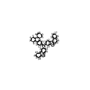 c1ccc(-c2ccccc2-c2ccc(N(c3ccc4c(c3)oc3ccc5ccccc5c34)c3ccc4oc5ccccc5c4c3)cc2)cc1